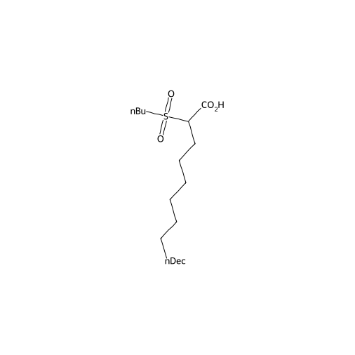 CCCCCCCCCCCCCCCCC(C(=O)O)S(=O)(=O)CCCC